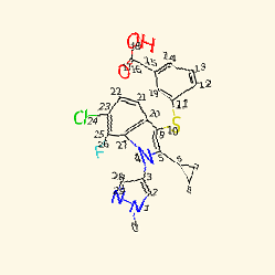 Cn1cc(-n2c(C3CC3)c(Sc3cccc(C(=O)O)c3)c3ccc(Cl)c(F)c32)cn1